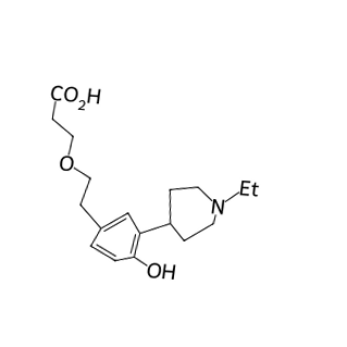 CCN1CCC(c2cc(CCOCCC(=O)O)ccc2O)CC1